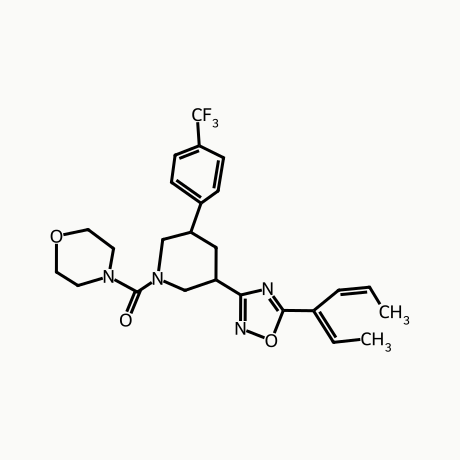 C/C=C\C(=C/C)c1nc(C2CC(c3ccc(C(F)(F)F)cc3)CN(C(=O)N3CCOCC3)C2)no1